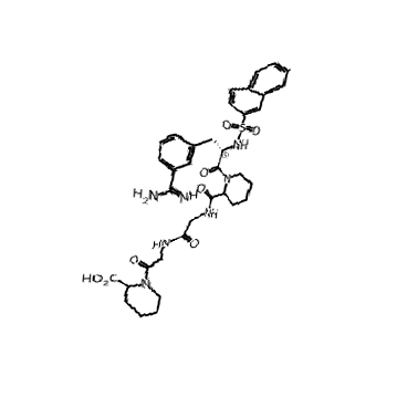 N=C(N)c1cccc(C[C@H](NS(=O)(=O)c2ccc3ccccc3c2)C(=O)N2CCCCC2C(=O)NCC(=O)NCC(=O)N2CCCCC2C(=O)O)c1